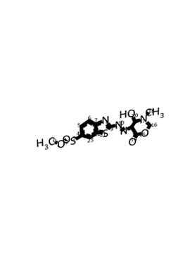 COOSc1ccc2nc(N=NC3C(=O)OCN(C)C3O)sc2c1